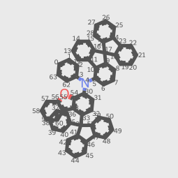 c1ccc(N(c2cccc3c2-c2ccccc2C32c3ccccc3-c3ccccc32)c2ccc(C3(c4ccccc4)c4ccccc4-c4ccccc43)c3c2oc2ccccc23)cc1